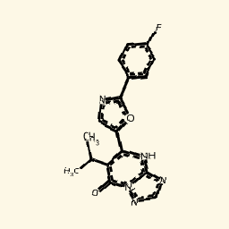 CC(C)c1c(-c2cnc(-c3ccc(F)cc3)o2)[nH]c2ncnn2c1=O